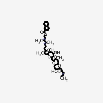 C=C/C=C\CCC1OC2CCC3(C)OC4C(O)CC5(C)OC(CC/C=C(C)/C(C)=C/COC(=O)c6ccc7ccccc7c6)C(C)CC5OC4CC3OC2CCC1(C)O